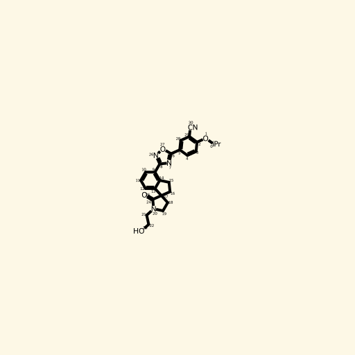 CC(C)Oc1ccc(-c2nc(-c3cccc4c3CCC43CCN(CCO)C3=O)no2)cc1C#N